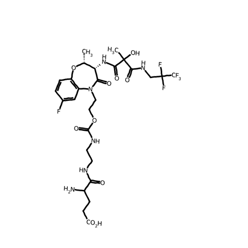 C[C@H]1Oc2ccc(F)cc2N(CCOC(=O)NCCNC(=O)C(N)CCC(=O)O)C(=O)[C@H]1NC(=O)C(C)(O)C(=O)NCC(F)(F)C(F)(F)F